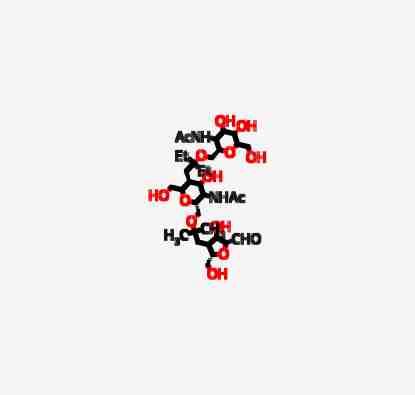 CCC(CC)(C[C@@H]1C(CO)O[C@@H](COC(C)(C)CC2C(O)[C@@H](C=O)O[C@@H]2CO)C(NC(C)=O)C1O)OC[C@@H]1OC(CO)[C@@H](O)C(O)C1NC(C)=O